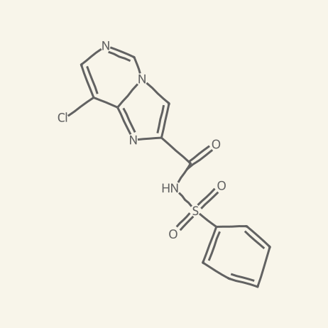 O=C(NS(=O)(=O)c1ccccc1)c1cn2cncc(Cl)c2n1